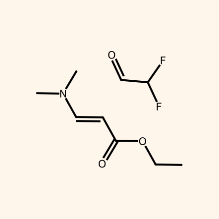 CCOC(=O)C=CN(C)C.O=CC(F)F